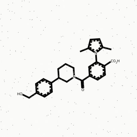 Cc1ccc(C)n1-c1cc(C(=O)N2CCCC(c3ccc(CO)cc3)C2)ccc1C(=O)O